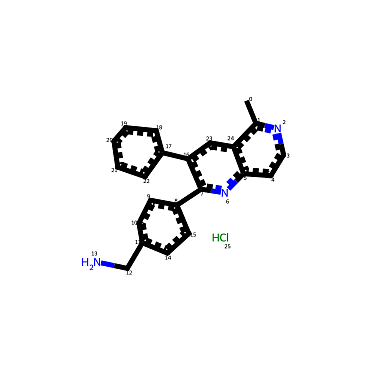 Cc1nccc2nc(-c3ccc(CN)cc3)c(-c3ccccc3)cc12.Cl